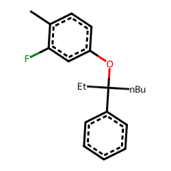 CCCCC(CC)(Oc1ccc(C)c(F)c1)c1ccccc1